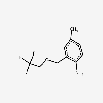 Cc1ccc(N)c(COCC(F)(F)F)c1